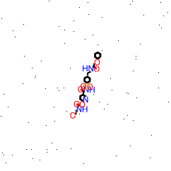 COCCNC(=O)Oc1ccc(C(=O)NS(=O)(=O)c2ccc(CCNC(=O)COc3ccccc3)cc2)cn1